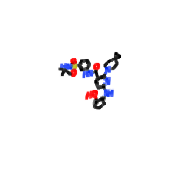 CC(C)(C)NS(=O)(=O)c1cccc(NC(=O)c2ccc(N[C@@H]3CCC[C@H]3O)nc2N2CCC3(CC2)CC3)c1